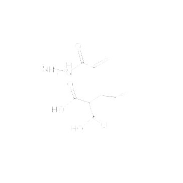 C=CC(=O)NC.CCCC(C(=O)O)C(=O)O.N